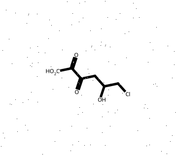 O=C(O)C(=O)C(=O)CC(O)CCl